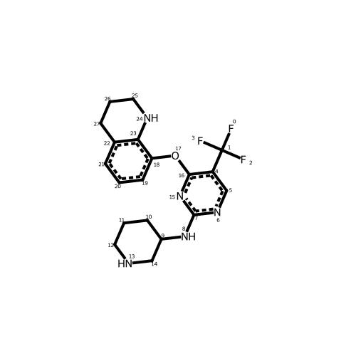 FC(F)(F)c1cnc(NC2CCCNC2)nc1Oc1cccc2c1NCCC2